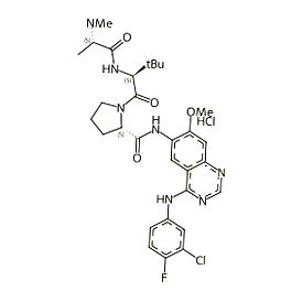 CN[C@@H](C)C(=O)N[C@H](C(=O)N1CCC[C@H]1C(=O)Nc1cc2c(Nc3ccc(F)c(Cl)c3)ncnc2cc1OC)C(C)(C)C.Cl